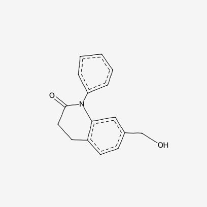 O=C1CCc2ccc(CO)cc2N1c1ccccc1